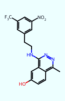 Cc1nnc(NCCc2cc([N+](=O)[O-])cc(C(F)(F)F)c2)c2cc(O)ccc12